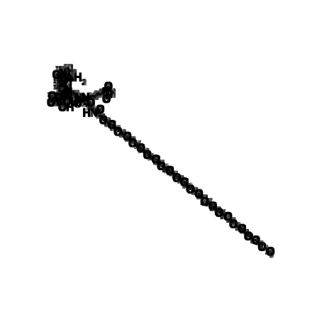 COCCOCCOCCOCCOCCOCCOCCOCCOCCOCCOCCOCCOCCOCCOCCOCCOCCOCCOCCOCCOCCOCCOCCOCCC(=O)NCCCC[C@H](NC(=O)CCCCCN1C(=O)C=CC1=O)C(=O)NCCC(=O)Nc1cc(COC(=O)N(C)[C@H](C(N)=O)C(C)C)ccc1O[C@@H]1O[C@H](C(=O)O)C[C@H](O)[C@H]1O